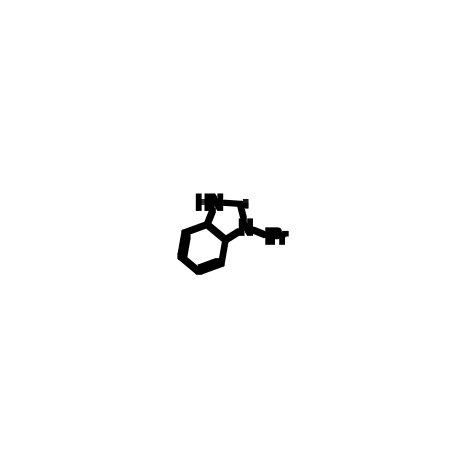 CC(C)N1[C]NC2C=CC=CC21